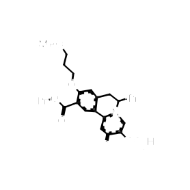 COCCCOc1cc2c(cc1C(=O)OC(C)C)-c1cc(=O)c(C(=O)O)cn1C(C(C)C)C2